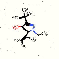 CCn1nc(C(C)(C)C)c(O)c1C(C)(C)C